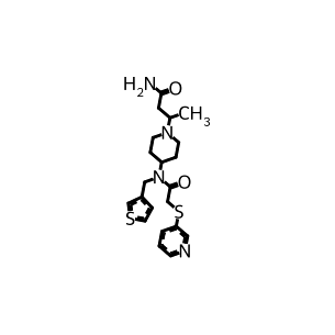 CC(CC(N)=O)N1CCC(N(Cc2ccsc2)C(=O)CSc2cccnc2)CC1